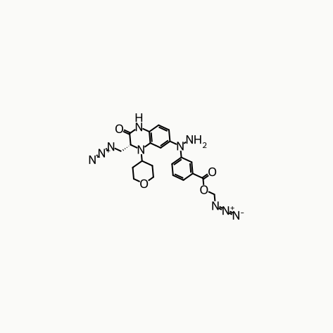 [N-]=[N+]=NCOC(=O)c1cccc(N(N)c2ccc3c(c2)N(C2CCOCC2)[C@H](CN=[N+]=[N-])C(=O)N3)c1